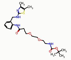 Cc1nc(NCc2ccccc2NC(=O)CCOCCOCCNC(=O)OC(C)(C)C)sc1C